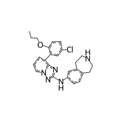 CCCOc1ccc(Cl)cc1-c1cccn2nc(Nc3ccc4c(c3)CCNCC4)nc12